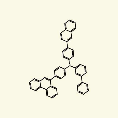 c1ccc(-c2cccc(N(c3ccc(-c4ccc5ccccc5c4)cc3)c3ccc(-c4cc5ccccc5c5ccccc45)cc3)c2)cc1